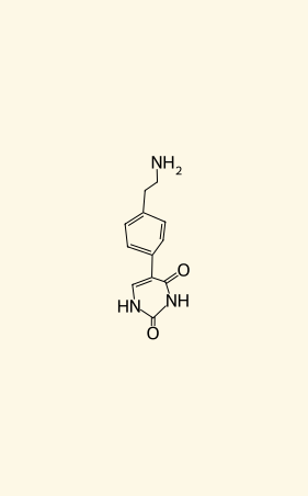 NCCc1ccc(-c2c[nH]c(=O)[nH]c2=O)cc1